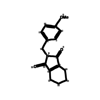 COc1ccc(CN2C(=O)C3=C(CCCC3)C2=O)cc1